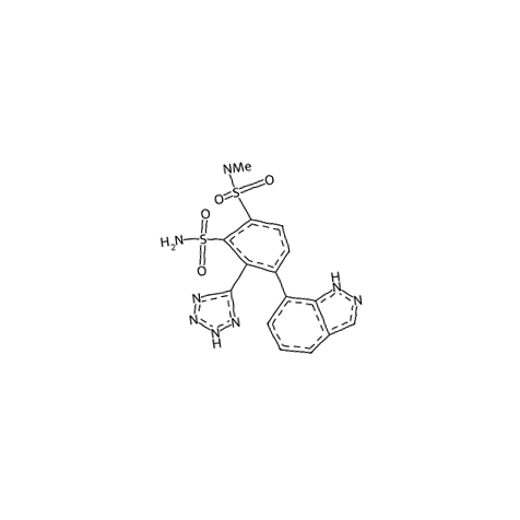 CNS(=O)(=O)c1ccc(-c2cccc3cn[nH]c23)c(-c2nn[nH]n2)c1S(N)(=O)=O